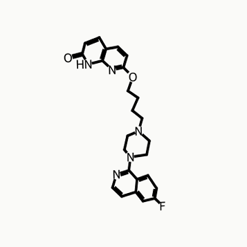 O=c1ccc2ccc(OCCCCN3CCN(c4nccc5cc(F)ccc45)CC3)nc2[nH]1